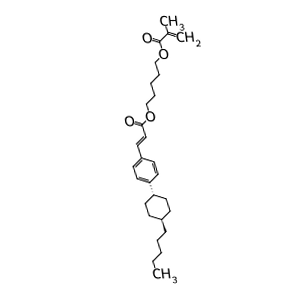 C=C(C)C(=O)OCCCCCOC(=O)/C=C/c1ccc([C@H]2CC[C@H](CCCCC)CC2)cc1